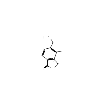 Cc1c(CN)ccc2c1COC2=O